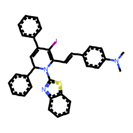 CN(C)c1ccc(C=CC2=C(I)C(c3ccccc3)=CC(c3ccccc3)N2c2nc3ccccc3s2)cc1